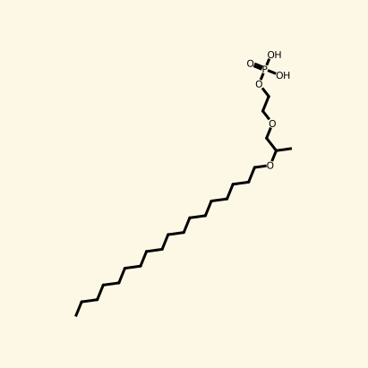 CCCCCCCCCCCCCCCCCCOC(C)COCCOP(=O)(O)O